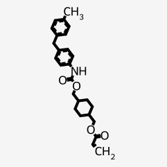 C=CC(=O)OCC1CCC(COC(=O)Nc2ccc(Cc3ccc(C)cc3)cc2)CC1